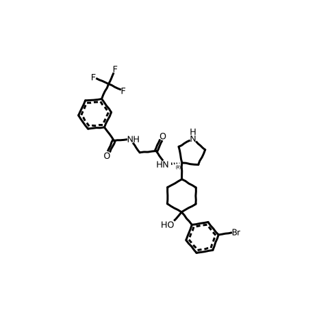 O=C(CNC(=O)c1cccc(C(F)(F)F)c1)N[C@@]1(C2CCC(O)(c3cccc(Br)c3)CC2)CCNC1